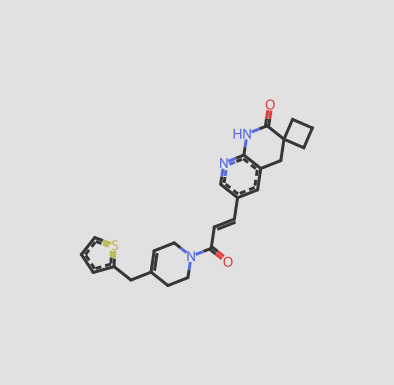 O=C(/C=C/c1cnc2c(c1)CC1(CCC1)C(=O)N2)N1CC=C(Cc2cccs2)CC1